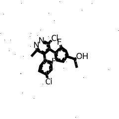 Cc1nnc(Cl)c(-c2c(F)cc(C(C)O)cc2F)c1-c1ccc(Cl)cc1